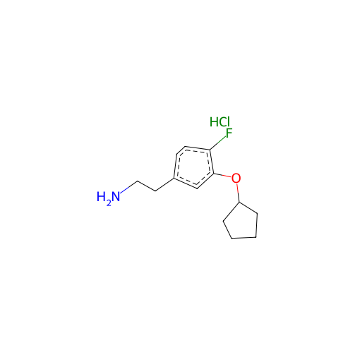 Cl.NCCc1ccc(F)c(OC2CCCC2)c1